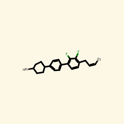 CC/C=C\Cc1ccc(-c2ccc(C3CCC(CCC)CC3)cc2)c(F)c1F